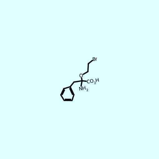 NC(Cc1ccccc1)(OCCBr)C(=O)O